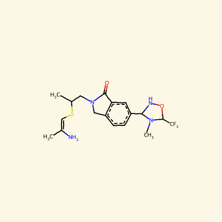 C/C(N)=C/SC(C)CN1Cc2ccc(C3NOC(C(F)(F)F)N3C)cc2C1=O